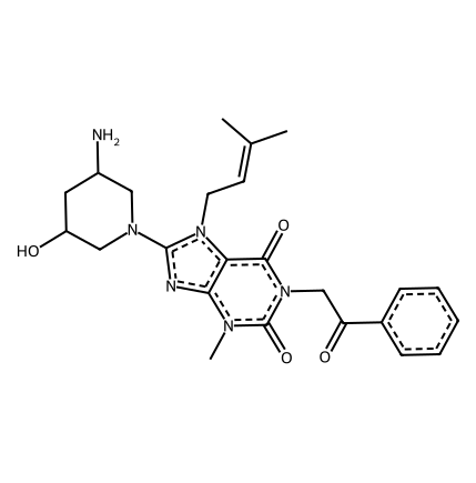 CC(C)=CCn1c(N2CC(N)CC(O)C2)nc2c1c(=O)n(CC(=O)c1ccccc1)c(=O)n2C